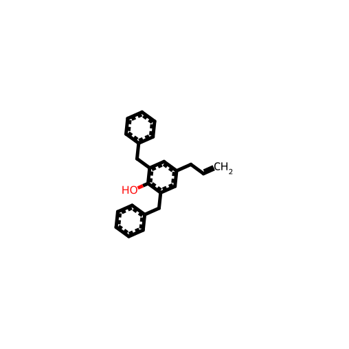 C=CCc1cc(Cc2ccccc2)c(O)c(Cc2ccccc2)c1